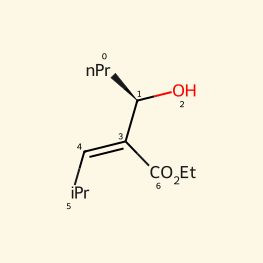 CCC[C@@H](O)C(=CC(C)C)C(=O)OCC